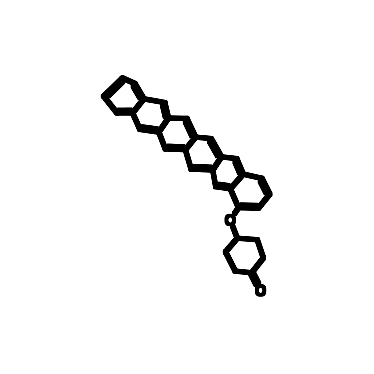 O=C1CCC(Oc2cccc3cc4cc5cc6cc7ccccc7cc6cc5cc4cc23)CC1